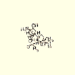 CC(=O)O.C[C@]12C[C@H](O)[C@H](N)C[C@@H]1CC[C@@H]1[C@@H]2CC[C@]2(C)[C@@H](O)CC[C@@H]12